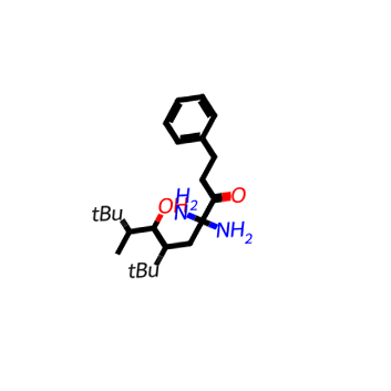 CC(C(O)C(CC(N)(N)C(=O)CCc1ccccc1)C(C)(C)C)C(C)(C)C